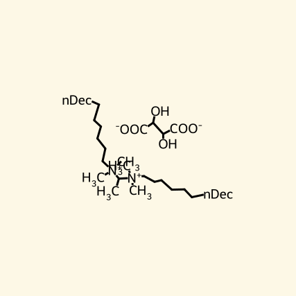 CCCCCCCCCCCCCCCC[N+](C)(C)C(C)[N+](C)(C)CCCCCCCCCCCCCCCC.O=C([O-])C(O)C(O)C(=O)[O-]